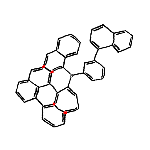 c1ccc(-c2cccc3cccc(-c4ccccc4N(c4cccc(-c5cccc6ccccc56)c4)c4cccc5ccccc45)c23)cc1